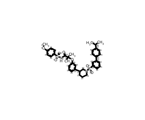 COc1ccc(S(=O)(=O)NC(=O)C(C)(C)Oc2cccc(C3CCCN(S(=O)(=O)c4cccc(-c5ccc(C(C)C)cc5)c4)C3)c2)cc1